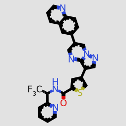 O=C(NC(c1ccccn1)C(F)(F)F)c1cc(-c2cnn3cc(-c4ccc5ncccc5c4)cnc23)cs1